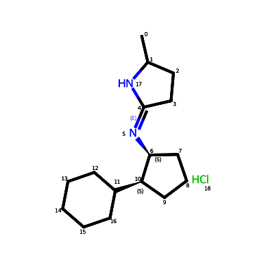 CC1CC/C(=N\[C@H]2CCC[C@H]2C2CCCCC2)N1.Cl